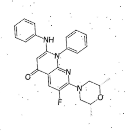 C[C@@H]1CN(c2nc3c(cc2F)c(=O)cc(Nc2ccccc2)n3-c2ccccc2)C[C@H](C)O1